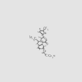 CC(Cc1ccc(OCC(=O)O)cc1)N1CC(=O)OC(c2csc(C(F)(F)F)n2)C1